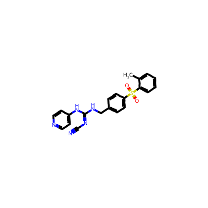 Cc1ccccc1S(=O)(=O)c1ccc(CNC(=NC#N)Nc2ccncc2)cc1